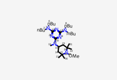 CCCCN(CCCC)c1nc(N(CCCC)CCCC)nc(N(C)C2CC(C)(C)N(OC)C(C)(C)C2)n1